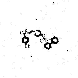 CCc1ccc(C(=O)N(C)CCN2CCC(OC(=O)Nc3ccccc3-c3ccccc3)CC2)cc1